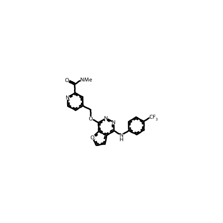 CNC(=O)c1cc(COc2nnc(Nc3ccc(C(F)(F)F)cc3)c3ccoc23)ccn1